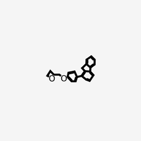 c1ccc2c(c1)Cc1c(-c3ccc(OCC4CCO4)cc3)cccc1-2